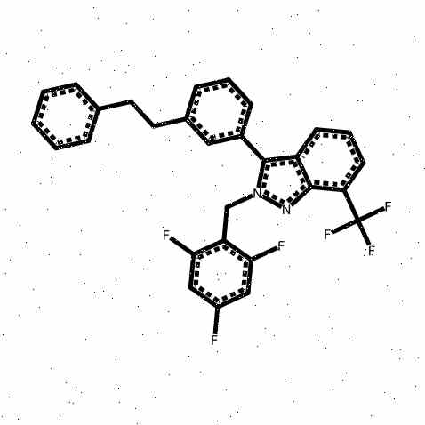 Fc1cc(F)c(Cn2nc3c(C(F)(F)F)cccc3c2-c2cccc(CCc3ccccc3)c2)c(F)c1